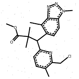 COC(=O)C(C)(C)C(c1ccc(C)c(CCl)n1)c1ccc2c(nnn2C)c1C